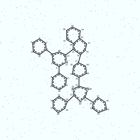 c1ccc(-c2cc(-c3ccccc3)nc(-c3c(-c4ccc(-c5nc(-c6ccccc6)nc(-c6ccccc6)n5)cc4)ccc4ccccc34)c2)cc1